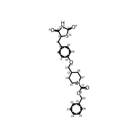 O=C1NC(=O)C(Cc2ccc(OCC3CCN(C(=O)OCc4ccccc4)CC3)cc2)S1